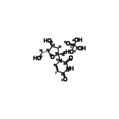 O=P(O)(O)O.O=c1ccn([C@@]2(F)C[C@H](O)[C@@H](CO)O2)c(=O)[nH]1